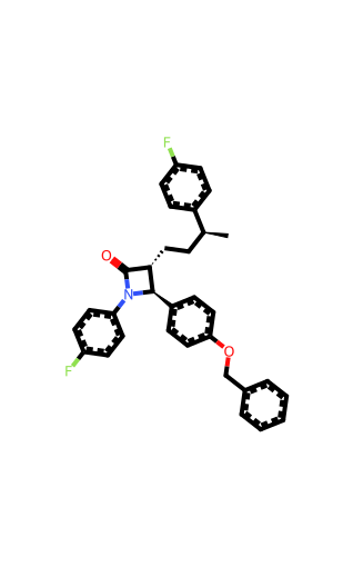 C[C@@H](CC[C@H]1C(=O)N(c2ccc(F)cc2)[C@@H]1c1ccc(OCc2ccccc2)cc1)c1ccc(F)cc1